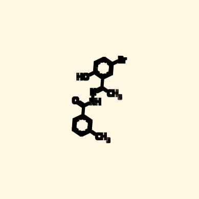 C/C(=N\NC(=O)c1cccc(C)c1)c1cc(Br)ccc1O